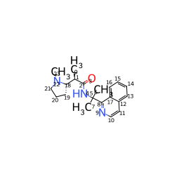 C[C@@H](C(=O)NC(C)(C)c1nccc2ccccc12)[C@@H]1CCCN1C